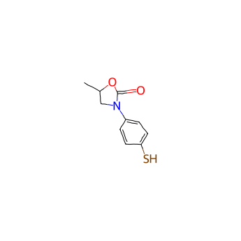 CC1CN(c2ccc(S)cc2)C(=O)O1